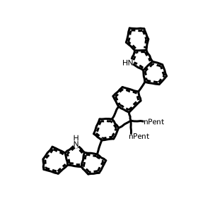 CCCCCC1(CCCCC)c2cc(-c3cccc4c3[nH]c3ccccc34)ccc2-c2ccc(-c3cccc4c3[nH]c3ccccc34)cc21